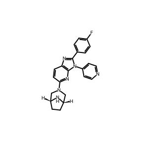 Fc1ccc(-c2nc3ccc(N4C[C@H]5CC[C@@H](C4)N5)nc3n2-c2ccncc2)cc1